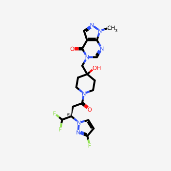 Cn1ncc2c(=O)n(CC3(O)CCN(C(=O)C[C@H](C(F)F)n4ccc(F)n4)CC3)cnc21